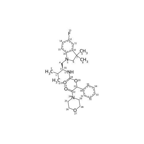 CC(C)[C@@H](CN1CC(C)(C)c2cc(F)ccc21)NC(=O)OC(C(=O)N1CCOCC1)c1ccccc1